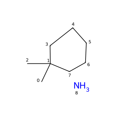 CC1(C)CCCCC1.N